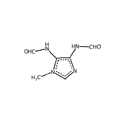 Cn1cnc(NC=O)c1NC=O